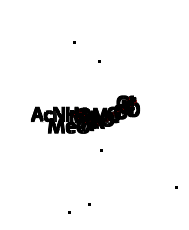 COc1nc(N2CCN(CCOCCOCCOCCN3C(=O)c4ccccc4C3=O)CC2)nc(OC)c1Sc1nc(C)cc(NC(C)=O)n1